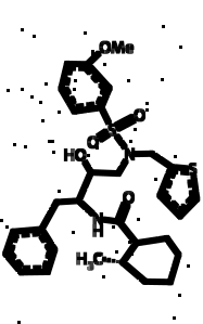 COc1cccc(S(=O)(=O)N(Cc2cccs2)CC(O)C(Cc2ccccc2)NC(=O)C2CCCC[C@@H]2C)c1